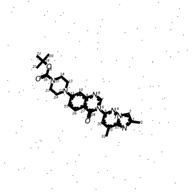 Cc1cn2nc(-n3cnc4cc(N5CCN(C(=O)OC(C)(C)C)CC5)ccc4c3=O)cc(C)c2n1